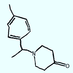 Cc1ccc(C(C)N2CCC(=O)CC2)cc1